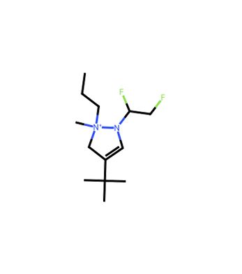 CCC[N+]1(C)CC(C(C)(C)C)=CN1C(F)CF